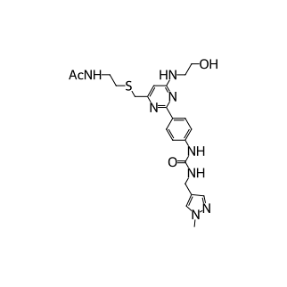 CC(=O)NCCSCc1cc(NCCO)nc(-c2ccc(NC(=O)NCc3cnn(C)c3)cc2)n1